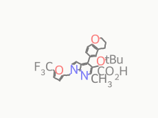 Cc1nc2c(ccn2Cc2ccc(C(F)(F)F)o2)c(-c2ccc3c(c2)CCCO3)c1C(OC(C)(C)C)C(=O)O